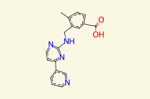 Cc1ccc(C(=O)O)cc1CNc1nccc(-c2cccnc2)n1